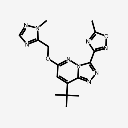 Cc1nc(-c2nnc3c(C(C)(C)C)cc(OCc4ncnn4C)nn23)no1